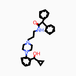 O=C(NCCCN1CCN(c2ccccc2C(O)C2CC2)CC1)C(c1ccccc1)c1ccccc1